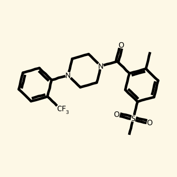 Cc1ccc(S(C)(=O)=O)cc1C(=O)N1CCN(c2ccccc2C(F)(F)F)CC1